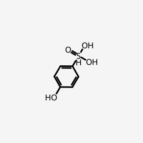 O=[SH](O)(O)c1ccc(O)cc1